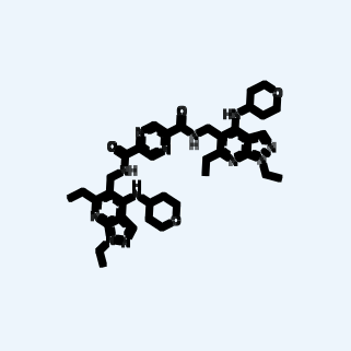 CCc1nc2c(cnn2CC)c(NC2CCOCC2)c1CNC(=O)c1cnc(C(=O)NCc2c(CC)nc3c(cnn3CC)c2NC2CCOCC2)cn1